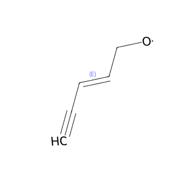 C#C/C=C/C[O]